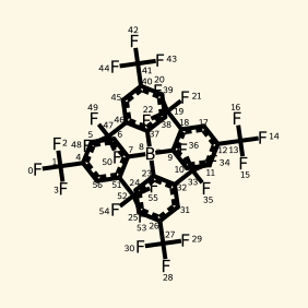 FC(F)(F)c1ccc([B-](c2ccc(C(F)(F)F)cc2C(F)(F)F)(c2ccc(C(F)(F)F)cc2C(F)(F)F)c2ccc(C(F)(F)F)cc2C(F)(F)F)c(C(F)(F)F)c1